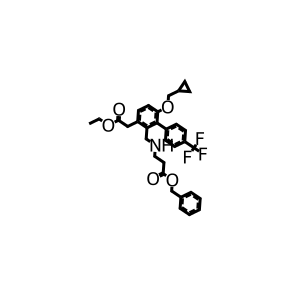 CCOC(=O)Cc1ccc(OCC2CC2)c(-c2ccc(C(F)(F)F)cc2)c1CNCCC(=O)OCc1ccccc1